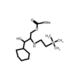 CNC(=O)OCC(NCC[Si](C)(C)C)C(O)C1CCCCC1